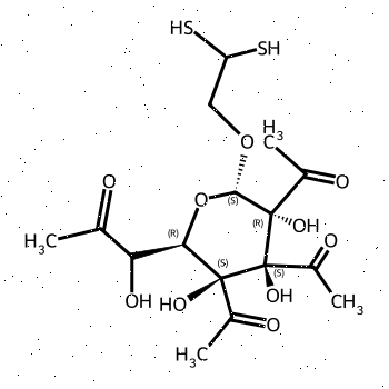 CC(=O)C(O)[C@H]1O[C@H](OCC(S)S)[C@@](O)(C(C)=O)[C@](O)(C(C)=O)[C@]1(O)C(C)=O